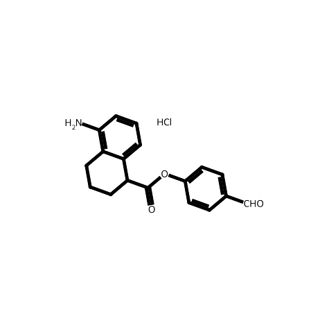 Cl.Nc1cccc2c1CCCC2C(=O)Oc1ccc(C=O)cc1